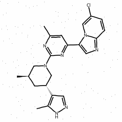 Cc1cc(-c2cnc3ccc(Cl)cn23)nc(N2C[C@H](C)C[C@@H](c3cn[nH]c3C)C2)n1